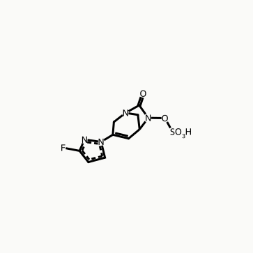 O=C1N2CC(n3ccc(F)n3)=CC(C2)N1OS(=O)(=O)O